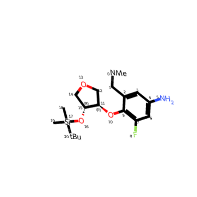 CNCc1cc(N)cc(F)c1O[C@@H]1COC[C@H]1O[Si](C)(C)C(C)(C)C